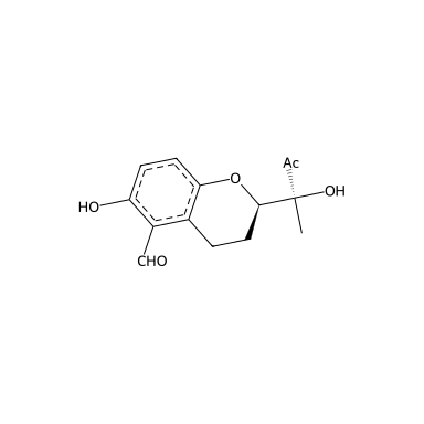 CC(=O)[C@@](C)(O)[C@H]1CCc2c(ccc(O)c2C=O)O1